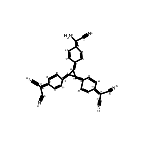 N#CC(N)=c1ccc(=C2C(=c3ccc(=C(C#N)C#N)cc3)C2=c2ccc(=C(C#N)C#N)cc2)cc1